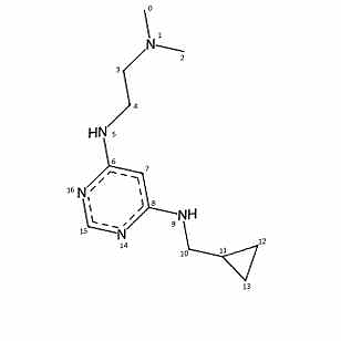 CN(C)CCNc1cc(NCC2CC2)ncn1